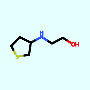 OCCNC1CCSC1